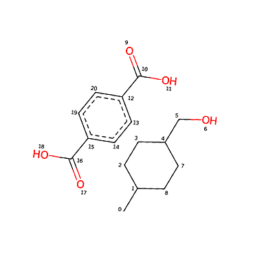 CC1CCC(CO)CC1.O=C(O)c1ccc(C(=O)O)cc1